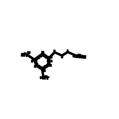 CCCCCCCCCCCC[n+]1cc(CCC)cc(CCC)c1